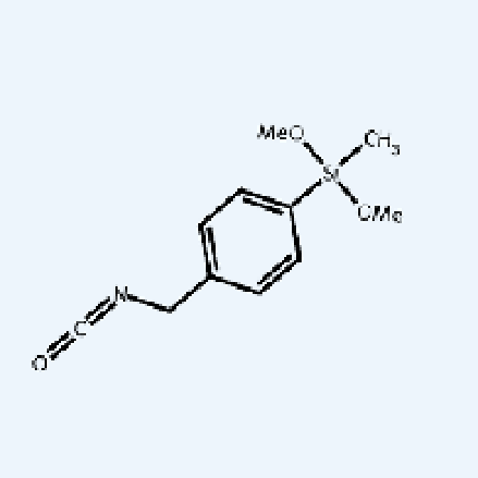 CO[Si](C)(OC)c1ccc(CN=C=O)cc1